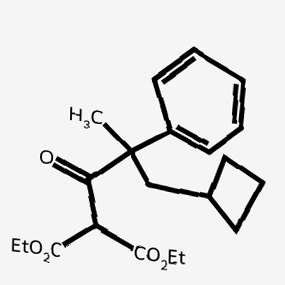 CCOC(=O)C(C(=O)OCC)C(=O)C(C)(CC1CCC1)c1ccccc1